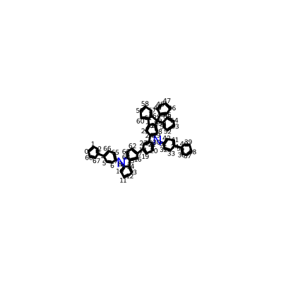 c1ccc(-c2ccc(-n3c4ccccc4c4cc(-c5ccc6c(c5)c5cc7c(cc5n6-c5ccc(-c6ccccc6)cc5)C(c5ccccc5)(c5ccccc5)c5ccccc5-7)ccc43)cc2)cc1